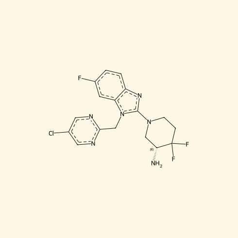 N[C@@H]1CN(c2nc3ccc(F)cc3n2Cc2ncc(Cl)cn2)CCC1(F)F